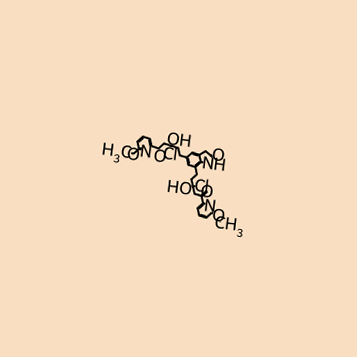 COc1cccc(C(=O)CC(O)(Cl)CCc2cc(CCC(O)(Cl)CC(=O)c3cccc(OC)n3)c3c(c2)CC(=O)N3)n1